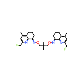 Cc1cc(CF)nc2c1CCC/C2=N\OCC(C)(C)CO/N=C1\CCCc2c(C)cc(CF)nc21